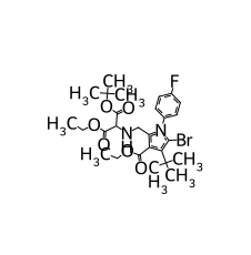 CCOC(=O)c1c(C(C)(C)C)c(Br)n(-c2ccc(F)cc2)c1CNC(C(=O)OCC)C(=O)OC(C)(C)C